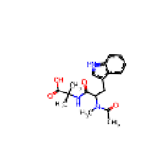 CC(=O)N(C)C(Cc1c[nH]c2ccccc12)C(=O)NC(C)(C)C(=O)O